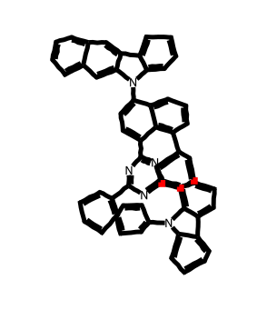 c1ccc(-c2nc(-c3ccc(-n4c5ccccc5c5cc6ccccc6cc54)c4cccc(-c5ccccc5)c34)nc(-c3cccc4c5ccccc5n(-c5ccccc5)c34)n2)cc1